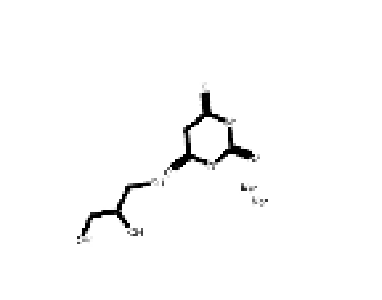 O=C1CC(=O)[N-]C(=O)[N-]1.OCC(O)CO.[Na+].[Na+]